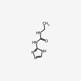 CCNC(=O)Nc1nnc[nH]1